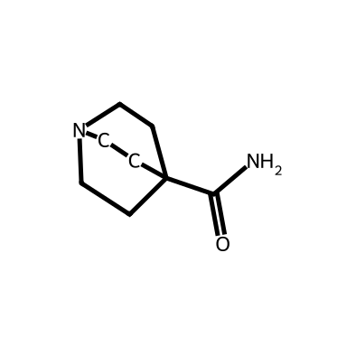 NC(=O)C12CCN(CC1)CC2